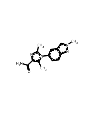 Cc1nc(C(N)=O)c(C)n1-c1ccc2nn(C)cc2c1